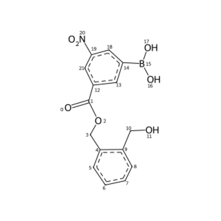 O=C(OCc1ccccc1CO)c1cc(B(O)O)cc([N+](=O)[O-])c1